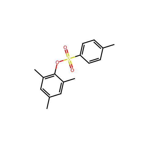 Cc1ccc(S(=O)(=O)Oc2c(C)cc(C)cc2C)cc1